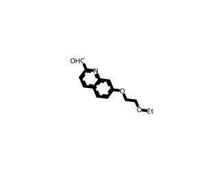 CCOCCOc1ccc2ccc(C=O)nc2c1